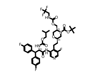 CC(C)COC(=O)N[C@H](C(=O)Nc1cncc(F)c1CC[C@@H]1CN(C(=O)OC(C)(C)C)[C@H](COC(=O)NCC(F)(F)F)CO1)C(c1ccc(F)cc1)c1ccc(F)cc1